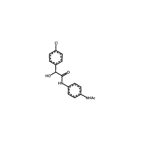 CC(=O)Nc1ccc(NC(=O)C(O)c2ccc(Cl)cc2)cc1